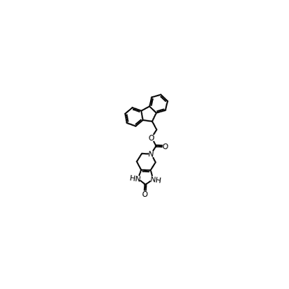 O=C(OCC1c2ccccc2-c2ccccc21)N1CCc2[nH]c(=O)[nH]c2C1